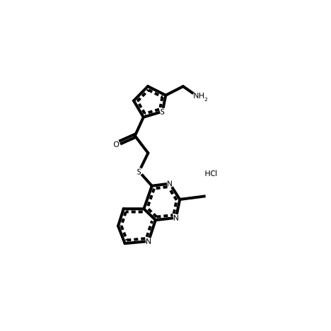 Cc1nc(SCC(=O)c2ccc(CN)s2)c2cccnc2n1.Cl